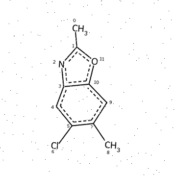 Cc1nc2cc(Cl)c(C)cc2o1